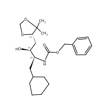 CC1(C)OCO[C@H]1C[C@H](O)[C@H](CC1CCCCC1)NC(=O)OCc1ccccc1